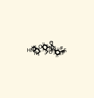 CCc1cc(Oc2ccnc3[nH]ccc23)ccc1N1C(=O)CN(c2cccc(C(F)(F)F)c2)C1=O